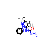 C=C(NC(N)=O)N(/N=C(/C)CC)c1ccccc1